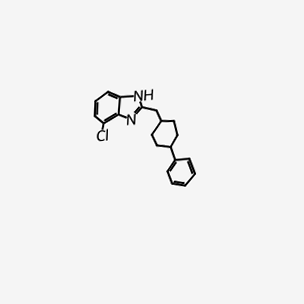 Clc1cccc2[nH]c(CC3CCC(c4ccccc4)CC3)nc12